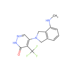 CNc1cccc2c1CN(c1cn[nH]c(=O)c1C(F)(F)F)C2